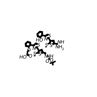 CSc1sc(C(=N)N)cc1-c1nc(-c2ccccc2O)cs1.CSc1sc(C=NNC(=O)OC(C)(C)C)cc1-c1nc(-c2ccccc2OCC(=O)O)cs1